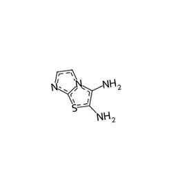 Nc1sc2nccn2c1N